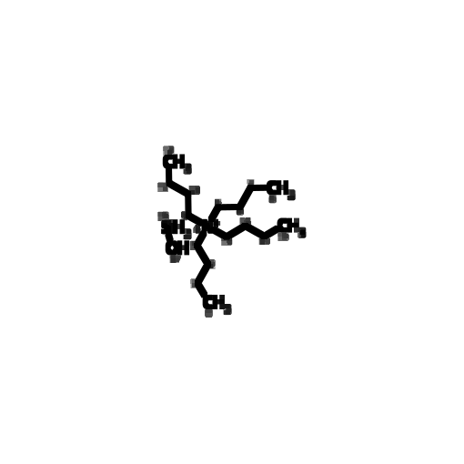 CCCC[N+](CCCC)(CCCC)CCCC.O[SiH3]